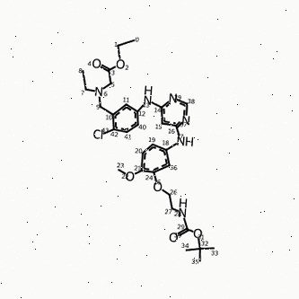 CCOC(=O)CN(CC)Cc1cc(Nc2cc(Nc3ccc(OC)c(OCCNC(=O)OC(C)(C)C)c3)ncn2)ccc1Cl